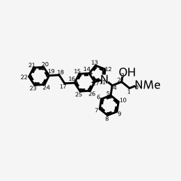 CNCC(O)C(c1ccccc1)n1ccc2cc(CCc3ccccc3)ccc21